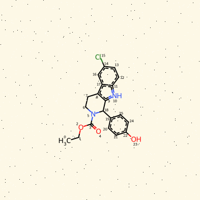 CCOC(=O)N1CCc2c([nH]c3ccc(Cl)cc23)C1c1ccc(O)cc1